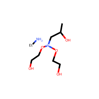 CC(O)CN(OCCO)OCCO.CCN